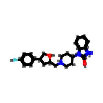 O=c1[nH]c2ccccc2n1C1CCN(CC2CC(c3ccc(F)cc3)CO2)CC1